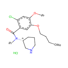 COCCCOc1cc(C(=O)N(C(C)C)[C@@H]2CCCNC2)c(Cl)cc1OC(C)C.Cl